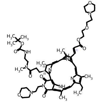 CCC1=C(C)c2cc3[nH]c(cc4nc(c5c6[nH]c(cc1n2)c(C)c6C(=O)N(CCN1CCOCC1)C5=O)[C@@H](CCC(=O)N(C)CCNC(=O)OC(C)(C)C)[C@@H]4C)c(C)c3/C=C/C(=O)OCCOCCN1CCOCC1